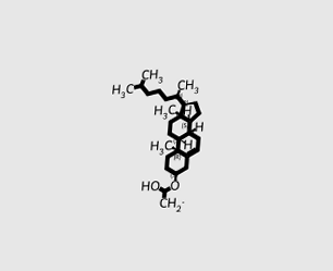 [CH2]C(O)O[C@H]1CC[C@@]2(C)C(=CC[C@H]3[C@@H]4CC[C@H]([C@H](C)CCCC(C)C)[C@@]4(C)CC[C@@H]32)C1